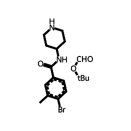 CC(C)(C)OC=O.Cc1cc(C(=O)NC2CCNCC2)ccc1Br